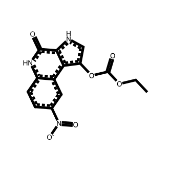 CCOC(=O)Oc1c[nH]c2c(=O)[nH]c3ccc([N+](=O)[O-])cc3c12